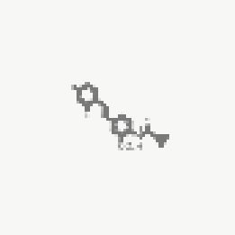 O=C(O)c1cc(C=Cc2ccc(F)cc2F)ccc1NC(=O)C1CC1